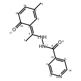 CC1=CC(=C(C)NNC(=O)c2ccncc2)C(=O)C=C1